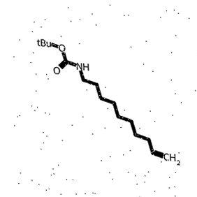 C=CCCCCCCCCNC(=O)OC(C)(C)C